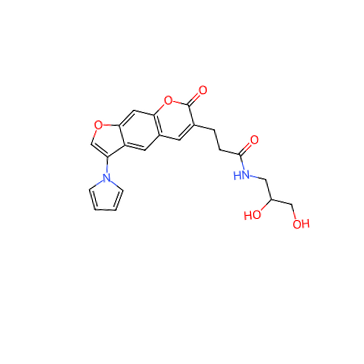 O=C(CCc1cc2cc3c(-n4cccc4)coc3cc2oc1=O)NCC(O)CO